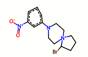 O=[N+]([O-])c1cccc(N2CC[N+]3(CCCC3Br)CC2)c1